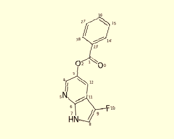 O=C(Oc1cnc2[nH]cc(F)c2c1)c1ccccc1